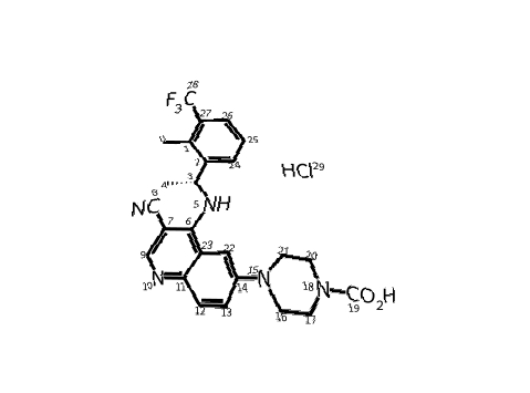 Cc1c([C@@H](C)Nc2c(C#N)cnc3ccc(N4CCN(C(=O)O)CC4)cc23)cccc1C(F)(F)F.Cl